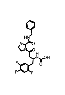 O=C(O)NC(CC(=O)N1CCSC1C(=O)NCc1ccccc1)Cc1cc(F)c(F)cc1F